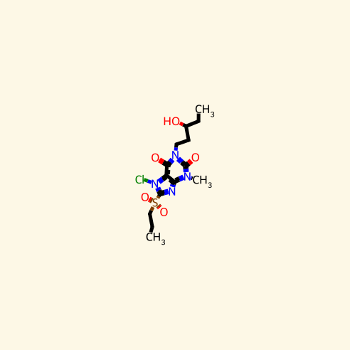 CCCS(=O)(=O)c1nc2c(c(=O)n(CCC(O)CC)c(=O)n2C)n1Cl